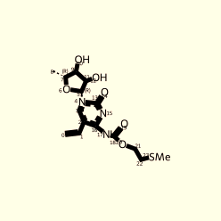 C=Cc1cn([C@@H]2O[C@H](C)C(O)C2O)c(=O)nc1NC(=O)OCCSC